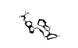 O=C(O)COc1ccc2c(ccn2CCCOc2ccc(Cl)cc2-n2nc3ccccc3n2)c1